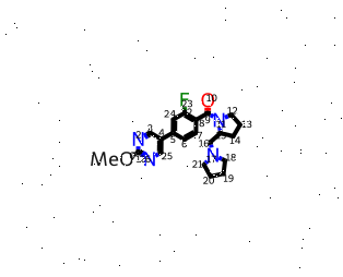 COc1ncc(-c2ccc(C(=O)N3CCCC3CN3CCCC3)c(F)c2)cn1